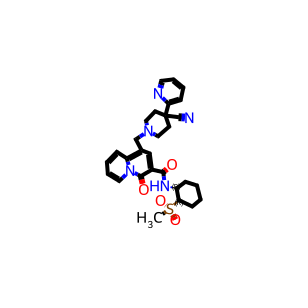 CS(=O)(=O)[C@@H]1CCCC[C@H]1NC(=O)c1cc(CN2CCC(C#N)(c3ccccn3)CC2)c2ccccn2c1=O